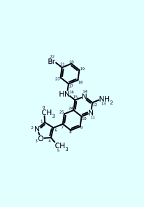 Cc1noc(C)c1-c1ccc2nc(N)nc(Nc3cccc(Br)c3)c2c1